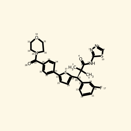 CC(C)(C(=O)Nc1nncs1)[C@@H](c1cccc(F)c1)c1ccc(-c2ccc(C(=O)N3CCOCC3)cc2)s1